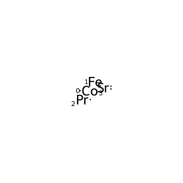 [Co].[Fe].[Pr].[Sr]